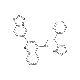 c1ccc(C(CNc2nc(-c3ccc4nccn4c3)nc3ccccc23)c2ccc[nH]2)nc1